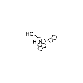 N[C@@H](C=CCCO)CC(c1ccc2ccccc2c1)c1ccc2ccccc2c1